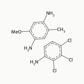 COc1cc(N)c(C)cc1N.Nc1ccc(Cl)c(Cl)c1Cl